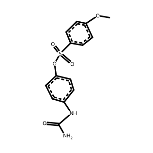 COc1ccc(S(=O)(=O)Oc2ccc(NC(N)=O)cc2)cc1